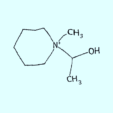 CC(O)[N+]1(C)CCCCC1